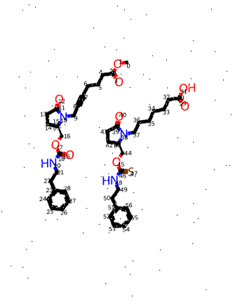 COC(=O)CCCC#CCN1C(=O)CC[C@@H]1COC(=O)NCCc1ccccc1.O=C(O)CCCCCCN1C(=O)CC[C@@H]1COC(=S)NCCc1ccccc1